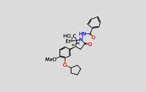 CC[C@]1(C(=O)O)[C@H](c2ccc(OC)c(OC3CCCC3)c2)CC(=O)N1NC(=O)c1ccccc1